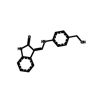 O=C1Nc2ccccc2C1=CNc1ccc(CO)cc1